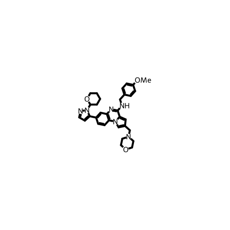 COc1ccc(CNc2nc3cc(-c4ccnn4C4CCCCO4)ccc3n3cc(CN4CCOCC4)cc23)cc1